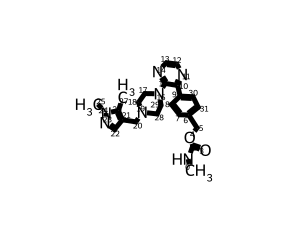 CNC(=O)OCc1ccc(-c2nccnc2N2CCN(Cc3cnn(C)c3C)CC2)cc1